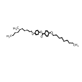 CCCCCCCCCOc1ccc(C(=O)Oc2ccc(OCCCCC[C@@H](C)CCCC)cc2)cc1